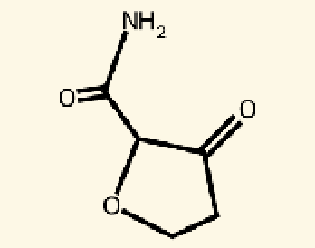 NC(=O)C1OCCC1=O